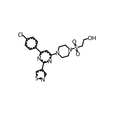 O=S(=O)(CCO)N1CCN(c2cc(-c3ccc(Cl)cc3)nc(-c3cnsc3)n2)CC1